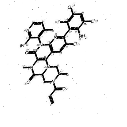 C=CC(=O)N1CC2C(=O)N(C)c3c(c4cc(Cl)c(-c5c(N)c(Cl)cc(Cl)c5F)nc4n(-c4c(C)ccnc4C(C)C)c3=O)N2CC1C